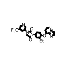 CCc1cc(N2C(=O)CN(c3cncc(C(F)(F)F)c3)C2=O)ccc1Oc1ccnn2ccnc12